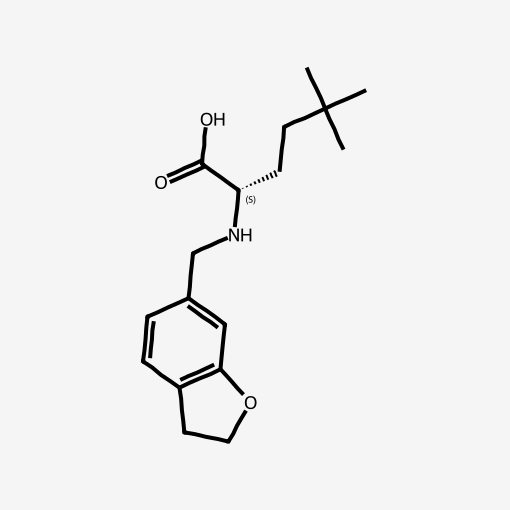 CC(C)(C)CC[C@H](NCc1ccc2c(c1)OCC2)C(=O)O